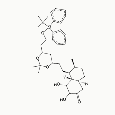 C[C@H]1CC[C@H]2CC(=O)C(O)[C@H](O)[C@@H]2[C@H]1CCC1CC(CCO[Si](c2ccccc2)(c2ccccc2)C(C)(C)C)OC(C)(C)O1